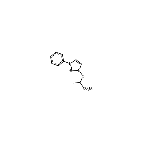 CCOC(=O)C(C)ON1C=CN(c2ccccc2)N1